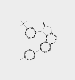 Cc1ccc(-c2ccc3ncc4c(c3c2)N(c2cccc(C(F)(F)F)c2)C(=O)C4)cn1